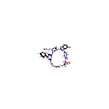 O=C(O)[C@@H]1C[C@H]2CN1c1nc(nc3c1oc1ccccc13)CCOCCCC(O)N1CCC(CC1)n1c(nc3ccc(F)cc31)O2